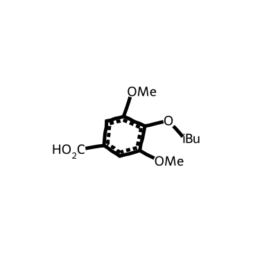 CCC(C)Oc1c(OC)cc(C(=O)O)cc1OC